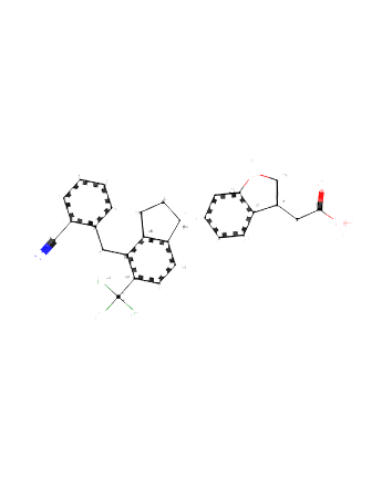 N#Cc1ccccc1Cc1c(C(F)(F)F)ccc2c1CC[C@@H]2c1ccc2c(c1)OCC2CC(=O)O